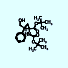 CC(C)(C)OC(=O)NC1(C(=O)OC(C)(C)C)C[C@@]1(CO)c1ccccc1